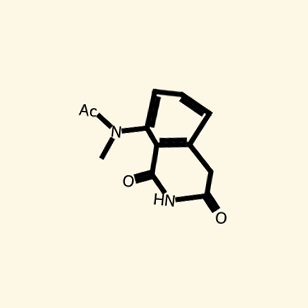 CC(=O)N(C)c1cccc2c1C(=O)NC(=O)C2